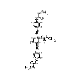 C=CC(=O)Oc1ccc(C#Cc2cc(OC(=O)C=C)c(C#Cc3ccc(OC(=O)C=C)cc3)cc2F)cc1